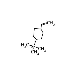 C=CC1CCC([Si](C)(C)C)CC1